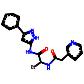 CCC(NC(=O)Cc1cccnc1)C(=O)Nc1cc(-c2ccccc2)n[nH]1